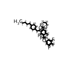 CCCCCC1CCC(CCOC2(c3cc(F)c(C(F)(F)Oc4cc(F)c(F)c(F)c4)c(F)c3)OCCCO2)CC1